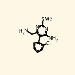 CSc1nc(N)c(-c2ccccc2Cl)c(CN)n1